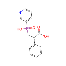 O=C(O)C(CP(=O)(O)c1cccnc1)c1ccccc1